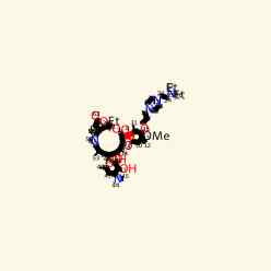 CC[C@H]1OC(=O)[C@H](C)[C@@H](O[C@H]2C[C@@](C)(OC)[C@@H](OCCCN3CCN(CCN(CC)CC)CC3)[C@H](C)O2)[C@H](C)[C@@H](O[C@@H]2O[C@H](C)C[C@H](N(C)C)[C@H]2O)[C@](C)(O)C[C@@H](C)CN(C)[C@H](C)[C@H]2CC(=O)O[C@@]21C